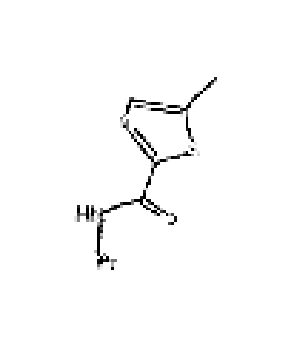 Cc1cnc(C(=O)NC(C)C)s1